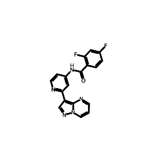 O=C(Nc1ccnc(-c2cnn3cccnc23)c1)c1ccc(F)cc1F